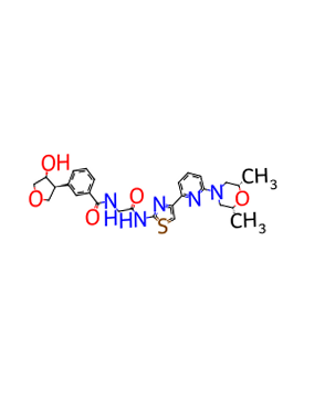 C[C@@H]1CN(c2cccc(-c3csc(NC(=O)CNC(=O)c4cccc([C@H]5COC[C@H]5O)c4)n3)n2)C[C@H](C)O1